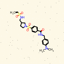 C=CS(=O)(=O)NCC1CCN(S(=O)(=O)c2ccc(C(=O)NCc3ccc(N(C)C)cc3)cc2)C1